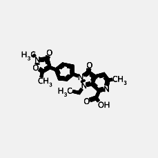 CCn1c2c(C(=O)O)nc(C)cc2c(=O)n1-c1ccc(-c2c(C)on(C)c2=O)cc1